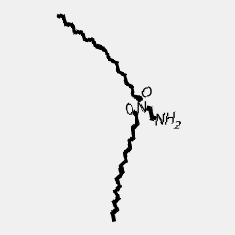 CCCCCCCCC=CCCCCCCCC(=O)N(CCN)C(=O)CCCCCCCC=CCCCCCCCC